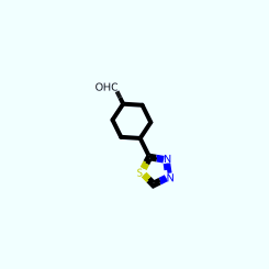 O=CC1CCC(c2nncs2)CC1